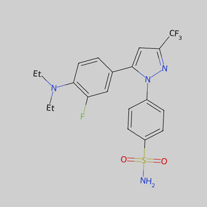 CCN(CC)c1ccc(-c2cc(C(F)(F)F)nn2-c2ccc(S(N)(=O)=O)cc2)cc1F